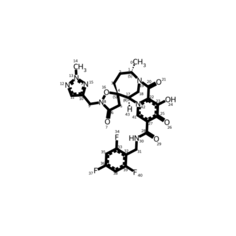 C[C@H]1CC[C@]2(CC(=O)N(Cc3cnn(C)n3)O2)[C@H]2CN1C(=O)c1c(O)c(=O)c(C(=O)NCc3c(F)cc(F)cc3F)cn12